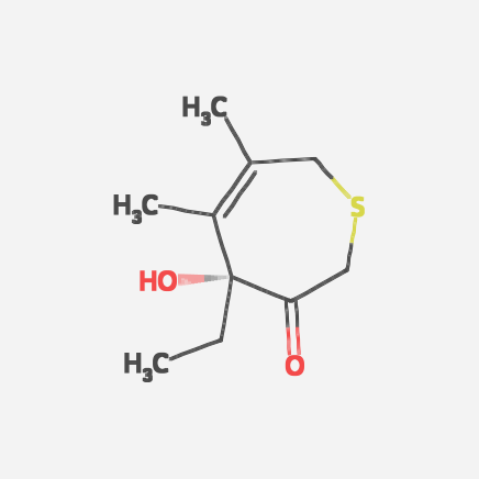 CC[C@]1(O)C(=O)CSCC(C)=C1C